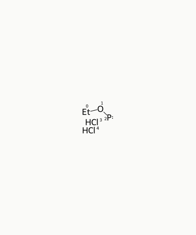 CCO[P].Cl.Cl